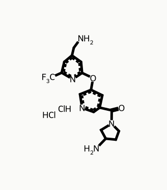 Cl.Cl.NCc1cc(Oc2cncc(C(=O)N3CCC(N)C3)c2)nc(C(F)(F)F)c1